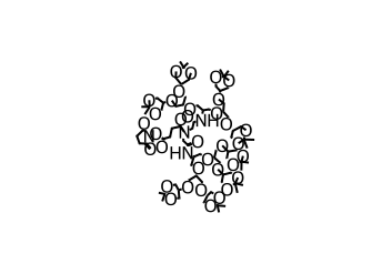 CC1(C)OCC(OCC(COC2COC(C)(C)OC2)OCC(COC(COC2COC(C)(C)OC2)COC2COC(C)(C)OC2)NC(=O)CN(CC(=O)NC(COC(COC2COC(C)(C)OC2)COC2COC(C)(C)OC2)COC(COC2COC(C)(C)OC2)COC2COC(C)(C)OC2)C(=O)CCC(=O)ON2C(=O)CCC2=O)CO1